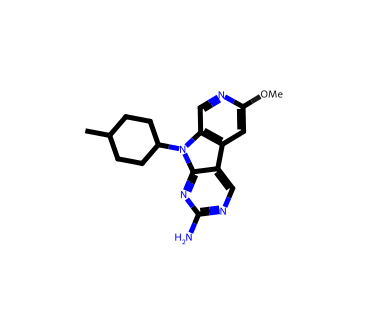 COc1cc2c3cnc(N)nc3n(C3CCC(C)CC3)c2cn1